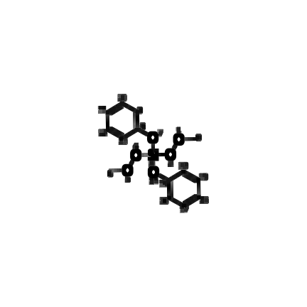 COO[Si](OOC)(Oc1ccccc1)Oc1ccccc1